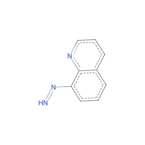 N=Nc1cccc2cccnc12